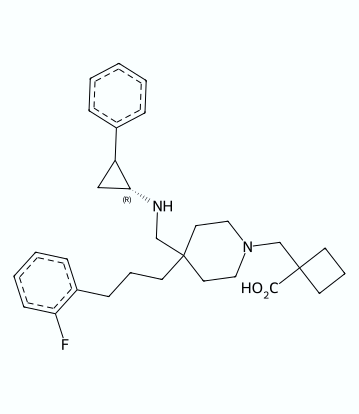 O=C(O)C1(CN2CCC(CCCc3ccccc3F)(CN[C@@H]3CC3c3ccccc3)CC2)CCC1